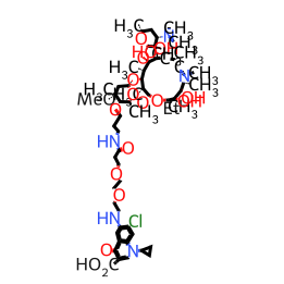 CC[C@H]1OC(=O)[C@H](C)[C@@H](O[C@H]2C[C@@](C)(OC)[C@@H](OCCCNC(=O)CCOCCOCCNc3cc4c(=O)c(C(=O)O)cn(C5CC5)c4cc3Cl)[C@H](C)O2)[C@H](C)[C@@H](O[C@@H]2O[C@H](C)C[C@H](N(C)C)[C@H]2O)[C@](C)(O)C[C@@H](C)CN(C)[C@H](C)[C@@H](O)[C@]1(C)O